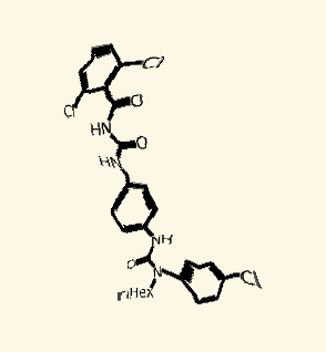 CCCCCCN(C(=O)Nc1ccc(NC(=O)NC(=O)c2c(Cl)cccc2Cl)cc1)c1ccc(Cl)cc1